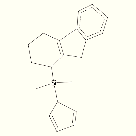 C[Si](C)(C1C=CC=C1)C1CCCC2=C1Cc1ccccc12